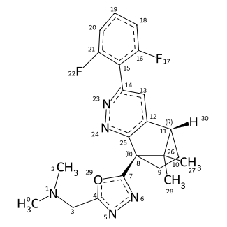 CN(C)Cc1nnc([C@@]23CC[C@@H](c4cc(-c5c(F)cccc5F)nnc42)C3(C)C)o1